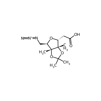 CC1(C)O[C@@]2(C)[C@@H](CC(=O)O)O[C@H](CN=[N+]=[N-])[C@@]2(C)O1